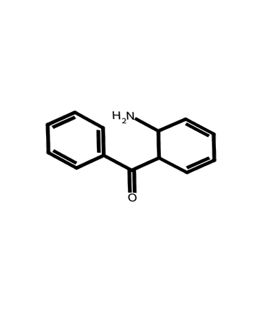 NC1C=CC=CC1C(=O)c1ccccc1